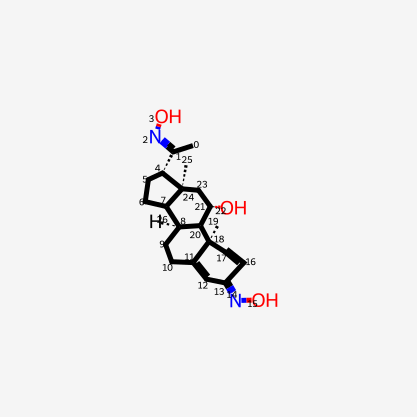 C/C(=N\O)[C@H]1CCC2[C@@H]3CCC4=C/C(=N/O)C=C[C@]4(C)C3[C@@H](O)C[C@@]21C